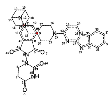 O=C1CCN(N2C(=O)c3ccc(N4C5CC4CN(CC4CCN(c6ccn7c(n6)nc6ccccc67)CC4)C5)cc3C2=O)C(=O)N1